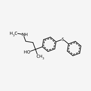 CNCCC(C)(O)c1ccc(Sc2ccccc2)cc1